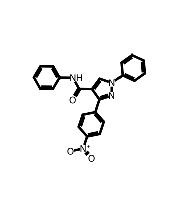 O=C(Nc1ccccc1)c1cn(-c2ccccc2)nc1-c1ccc([N+](=O)[O-])cc1